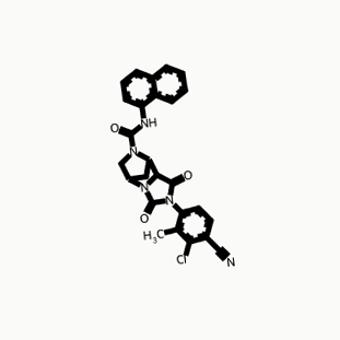 Cc1c(N2C(=O)C3C4CC(CN4C(=O)Nc4cccc5ccccc45)N3C2=O)ccc(C#N)c1Cl